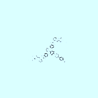 COC(=O)N[C@H](C(=O)N1CCC[C@H]1c1nc2ccc([C@H]3CC[C@H](c4ccc5nc([C@@H]6CCCN6C(=O)[C@@H](NC(=O)O)C(C)C)[nH]c5c4)N3c3cc(F)c(N4CCC(c5ccc(OC)cc5)CC4)c(F)c3)cc2[nH]1)C(C)C